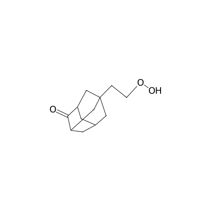 O=C1C2CC3CC1CC(CCOO)(C3)C2